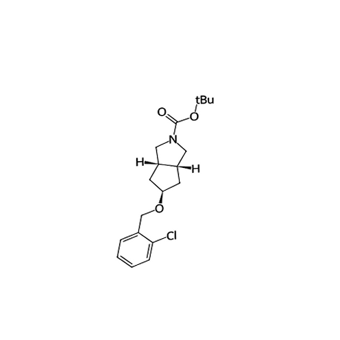 CC(C)(C)OC(=O)N1C[C@H]2C[C@H](OCc3ccccc3Cl)C[C@H]2C1